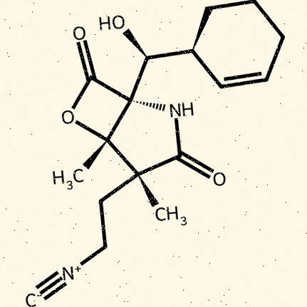 [C-]#[N+]CC[C@@]1(C)C(=O)N[C@@]2([C@@H](O)[C@@H]3C=CCCC3)C(=O)O[C@@]12C